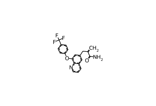 C=C(Cc1cc(Oc2ccc(C(F)(F)F)cc2)c2ncccc2c1)C(N)=O